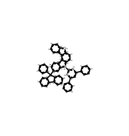 c1ccc(-c2cc(-c3ccccc3)nc(-n3c4cc(C5(c6ccccc6)c6ccccc6-c6ccccc65)ccc4c4c5c(ccc43)oc3ccccc35)n2)cc1